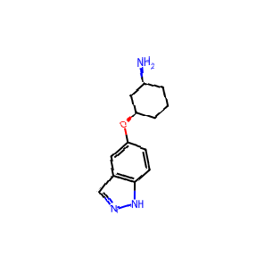 N[C@H]1CCC[C@@H](Oc2ccc3[nH]ncc3c2)C1